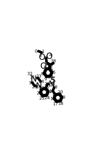 CCOC(=O)c1oc2ccc(SN(CCc3ccccc3)Cc3ccccc3N3CCN(C)CC3)cc2c1C